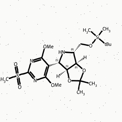 COc1nc(S(C)(=O)=O)nc(OC)c1[C@@H]1N[C@H](CO[Si](C)(C)C(C)(C)C)[C@H]2OC(C)(C)O[C@H]21